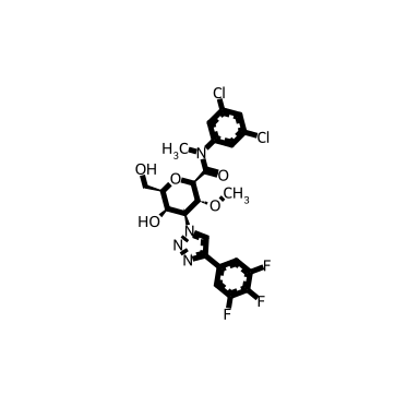 CO[C@@H]1[C@@H](n2cc(-c3cc(F)c(F)c(F)c3)nn2)[C@@H](O)[C@@H](CO)O[C@H]1C(=O)N(C)c1cc(Cl)cc(Cl)c1